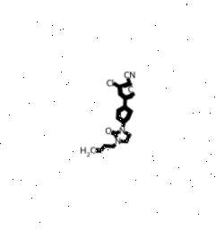 C=CCCN1CCN(c2ccc(-c3ccc(C#N)c(Cl)c3)cc2)C1=O